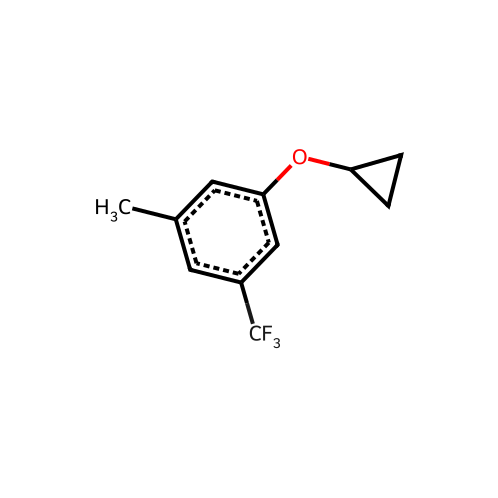 Cc1cc(OC2CC2)cc(C(F)(F)F)c1